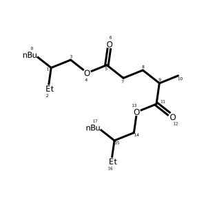 CCCCC(CC)COC(=O)CCC(C)C(=O)OCC(CC)CCCC